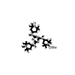 CON1C(C)(C)CC(N(C)c2nc(N(C)C3CC(C)(C)NC(C)(C)C3)nc(N(C)C3CC(C)(C)N(C)C(C)(C)C3)n2)CC1(C)C